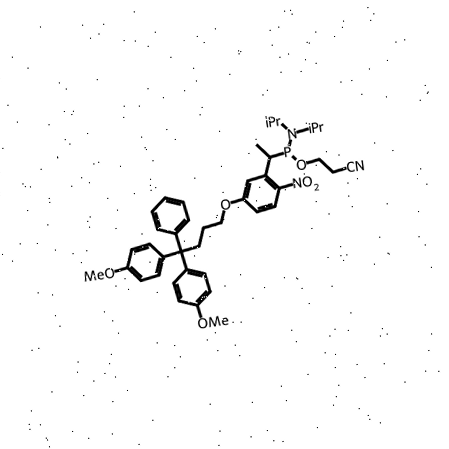 COc1ccc(C(CCCOc2ccc([N+](=O)[O-])c(C(C)P(OCCC#N)N(C(C)C)C(C)C)c2)(c2ccccc2)c2ccc(OC)cc2)cc1